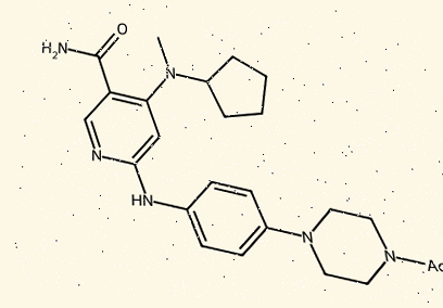 CC(=O)N1CCN(c2ccc(Nc3cc(N(C)C4CCCC4)c(C(N)=O)cn3)cc2)CC1